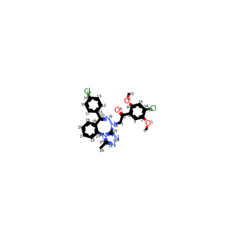 COc1cc(C(=O)CN2N=C(c3ccc(Cl)cc3)c3ccccc3-n3c(C)nnc32)c(OC)cc1Cl